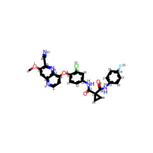 COc1cc2nccc(Oc3ccc(NC(=O)C4(C(=O)Nc5ccc(F)cc5)CC4)cc3Cl)c2nc1C#N